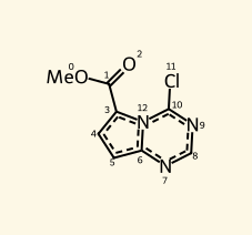 COC(=O)c1ccc2ncnc(Cl)n12